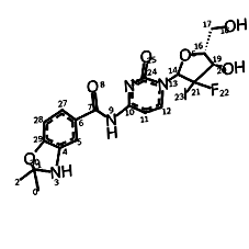 CC1(C)Nc2cc(C(=O)Nc3ccn(C4O[C@H](CO)[C@@H](O)C4(F)I)c(=O)n3)ccc2O1